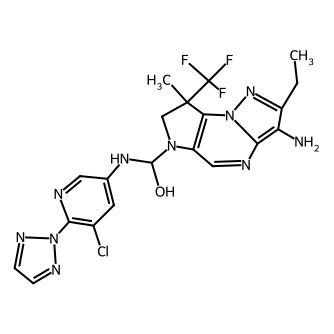 CCc1nn2c3c(cnc2c1N)N(C(O)Nc1cnc(-n2nccn2)c(Cl)c1)CC3(C)C(F)(F)F